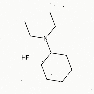 CCN(CC)C1CCCCC1.F